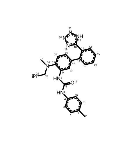 Cc1ccc(NC(=O)Nc2cc(-c3ccccc3-c3nnn[nH]3)ccc2N(C)CC(C)C)cc1